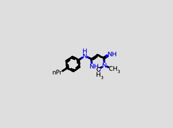 CCCc1ccc(N/C(N)=C/C(=N)N(C)C)cc1